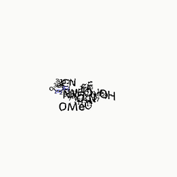 C/C=C\C(=C/c1ncc(-c2cc(OC)c(C(=O)N3CC(CO)C3)c(OC(F)F)c2)[nH]1)C(C)(C)C#N